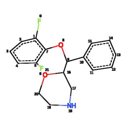 Fc1cccc(F)c1OC(c1ccccc1)C1CNCCO1